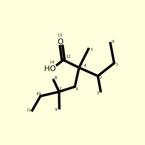 CCC(C)C(C)(CC(C)(C)CC)C(=O)O